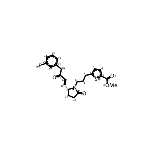 COC(=O)c1ccc(CCCN2C(=O)CC[C@@H]2C=CC(=O)Cc2cccc(F)c2)s1